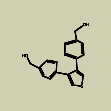 OCc1ccc(-c2cscc2-c2ccc(CO)cc2)cc1